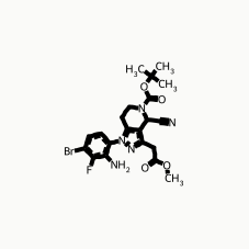 COC(=O)Cc1nn(-c2ccc(Br)c(F)c2N)c2c1C(C#N)N(C(=O)OC(C)(C)C)CC2